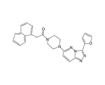 O=C(Cc1cccc2ccccc12)N1CCN(c2ccc3nnc(-c4ccco4)n3n2)CC1